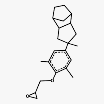 Cc1cc(C2(C)CC3C4CCC(C4)C3C2)cc(C)c1OCC1CO1